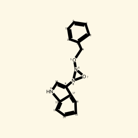 c1ccc(COn2on2-c2c[nH]c3ccccc23)cc1